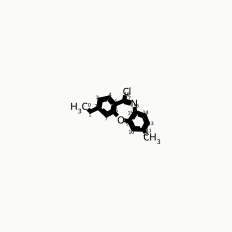 CCc1ccc2c(c1)Oc1cc(C)ccc1N=C2Cl